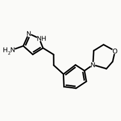 Nc1cc(CCc2cccc(N3CCOCC3)c2)[nH]n1